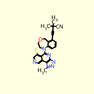 Cn1nnc2nc(N3CCOCc4c(C#CC(C)(C)C#N)cccc43)c3c(F)cncc3c21